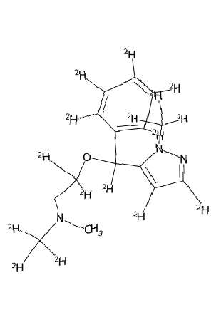 [2H]c1nn(C([2H])([2H])[2H])c(C([2H])(OC([2H])([2H])CN(C)C([2H])([2H])[2H])c2c([2H])c([2H])c([2H])c([2H])c2[2H])c1[2H]